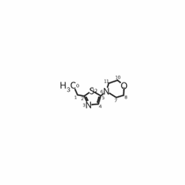 CCc1ncc(N2CCOCC2)s1